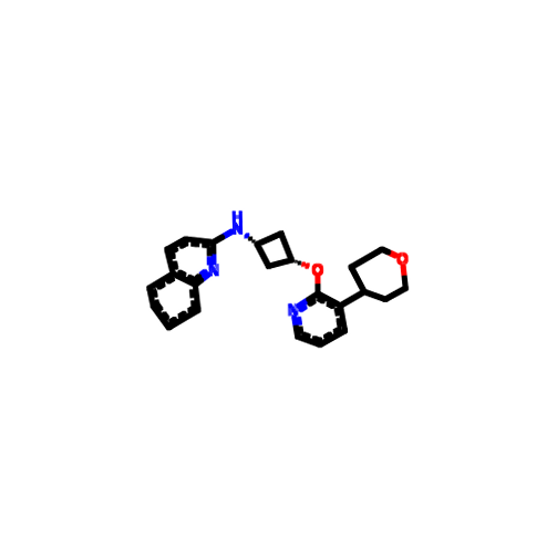 c1cnc(O[C@H]2C[C@@H](Nc3ccc4ccccc4n3)C2)c(C2CCOCC2)c1